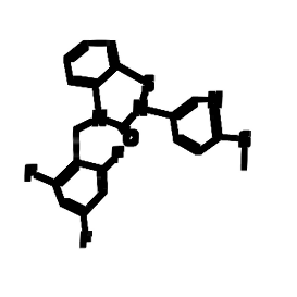 CSc1ccc(N2Sc3ccccc3N(Cc3c(F)cc(F)cc3F)C2=O)cn1